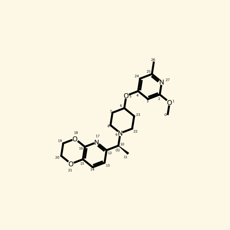 COc1cc(OC2CCN([C@@H](C)c3ccc4c(n3)OCCO4)CC2)cc(C)n1